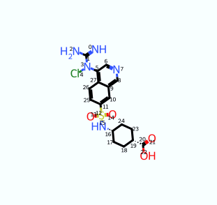 N=C(N)N(Cl)c1cncc2cc(S(=O)(=O)N[C@H]3CC[C@@H](C(=O)O)CC3)ccc12